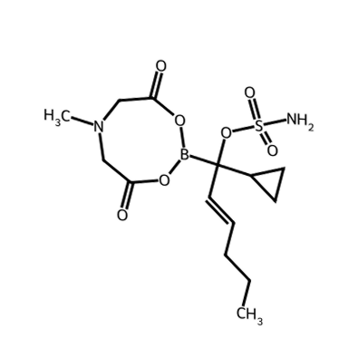 CCCC=CC(OS(N)(=O)=O)(B1OC(=O)CN(C)CC(=O)O1)C1CC1